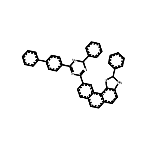 c1ccc(-c2ccc(C3=NC(c4ccc5ccc6ccc7c(c6c5c4)OC(c4ccccc4)N7)=NC(c4ccccc4)N3)cc2)cc1